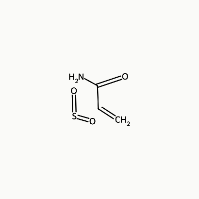 C=CC(N)=O.O=S=O